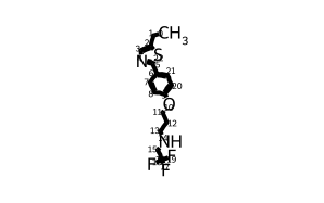 CCc1cnc(-c2ccc(OCCCNCC(F)(F)F)cc2)s1